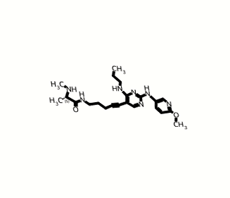 CCCNc1nc(Nc2ccc(OC)nc2)ncc1C#CCCCNC(=O)[C@H](C)NC